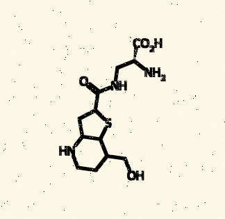 N[C@H](CNC(=O)C1CC2NCCC(CO)C2S1)C(=O)O